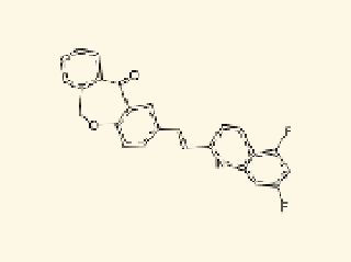 O=C1c2ccccc2COc2ccc(C=Cc3ccc4c(F)cc(F)cc4n3)cc21